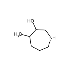 BC1CCCNCC1O